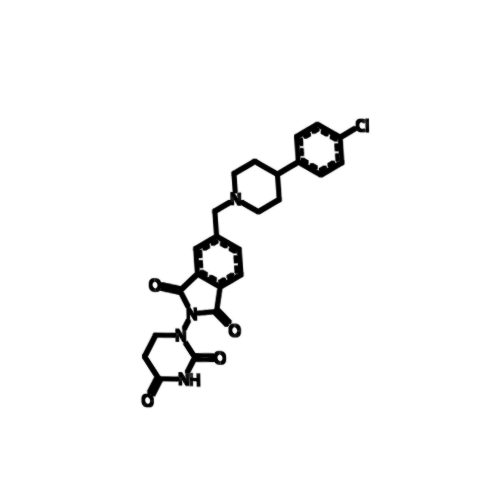 O=C1CCN(N2C(=O)c3ccc(CN4CCC(c5ccc(Cl)cc5)CC4)cc3C2=O)C(=O)N1